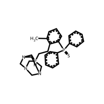 Cc1cccc(P(=S)(c2ccccc2)c2ccccc2)c1CC[PH]12CN3CN(CN(C3)C1)C2